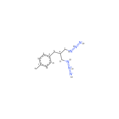 Cc1ccc(CC(CN=[N+]=[N-])CN=[N+]=[N-])cc1